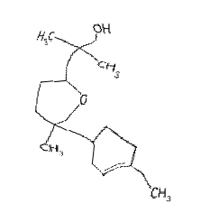 CC1=CCC(C2(C)CCC(C(C)(C)O)O2)CC1